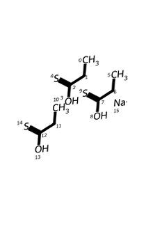 CCC(O)=S.CCC(O)=S.CCC(O)=S.[Na]